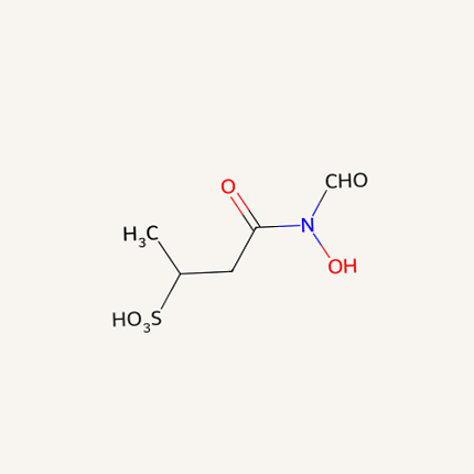 CC(CC(=O)N(O)C=O)S(=O)(=O)O